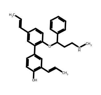 CC=Cc1ccc(OC(CCNC)c2ccccc2)c(-c2ccc(O)c(C=CC)c2)c1